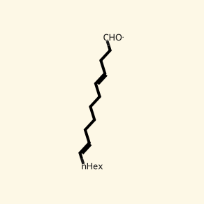 CCCCCCC=CCCCCC=CCC[C]=O